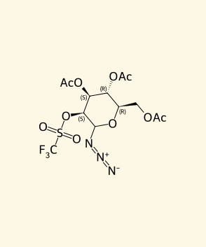 CC(=O)OC[C@H]1OC(N=[N+]=[N-])[C@@H](OS(=O)(=O)C(F)(F)F)[C@@H](OC(C)=O)[C@@H]1OC(C)=O